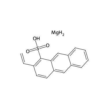 C=Cc1ccc2cc3ccccc3cc2c1S(=O)(=O)O.[MgH2]